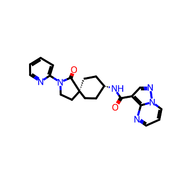 O=C(N[C@H]1CC[C@@]2(CCN(c3ccccn3)C2=O)CC1)c1cnn2cccnc12